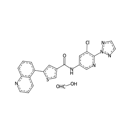 O=C(Nc1cnc(-n2nccn2)c(Cl)c1)c1csc(-c2cccc3ncccc23)c1.O=CO